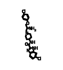 NC(COc1ccc(Cl)cc1)CN1CCC(NC(=O)c2nc3ccc(Cl)cc3[nH]2)CC1